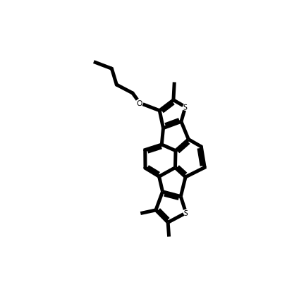 CCCCOc1c(C)sc2c1-c1ccc3c4c(ccc-2c14)-c1sc(C)c(C)c1-3